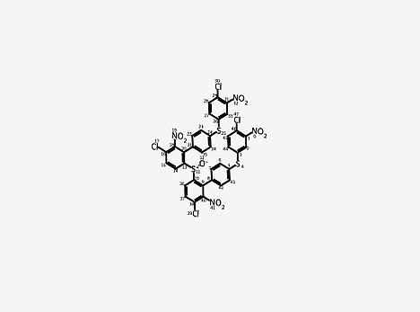 O=[N+]([O-])c1cc(Sc2ccc(-c3c([S+]([O-])c4ccc(Cl)c([N+](=O)[O-])c4-c4ccc(Sc5ccc(Cl)c([N+](=O)[O-])c5)cc4)ccc(Cl)c3[N+](=O)[O-])cc2)ccc1Cl